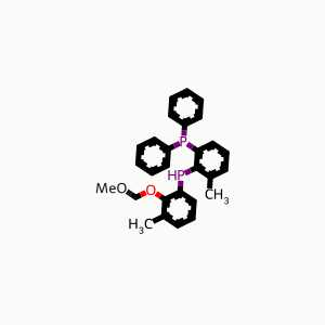 COCOc1c(C)cccc1Pc1c(C)cccc1P(c1ccccc1)c1ccccc1